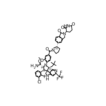 COc1cc(C(=O)N2CCC[C@@H](c3ccc4c(c3)CN(C3CCC(=O)NC3=O)C4=O)C2)ccc1N1[C@@H](CC(C)(C)C)[C@@]2(CNc3cc(C(F)(F)F)ncc32)[C@@H](c2cccc(Cl)c2F)[C@@H]1C(N)=O